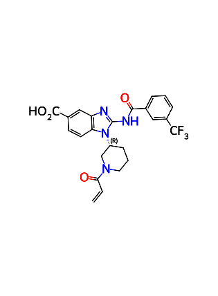 C=CC(=O)N1CCC[C@@H](n2c(NC(=O)c3cccc(C(F)(F)F)c3)nc3cc(C(=O)O)ccc32)C1